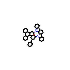 c1ccc(-c2cccc(-n3c4ccccc4c4ccc5c6ccccc6n(-c6ccc7c8ccccc8c8ccccc8c7c6)c5c43)c2)cc1